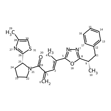 C=C(/C=C(\C)c1nnc([C@@H](C)Cc2ccccc2)o1)C(=O)N1CCC[C@@H]1c1nc(C)cs1